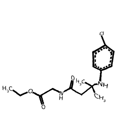 CCOC(=O)CNC(=O)CC(C)(C)Nc1ccc(Cl)cc1